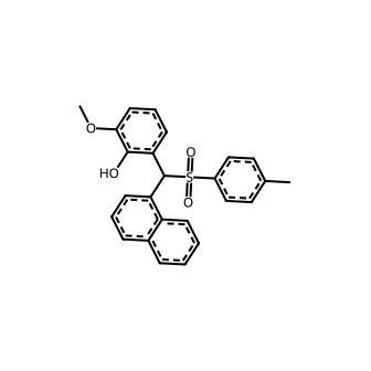 COc1cccc(C(c2cccc3ccccc23)S(=O)(=O)c2ccc(C)cc2)c1O